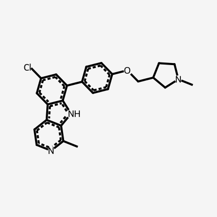 Cc1nccc2c1[nH]c1c(-c3ccc(OCC4CCN(C)C4)cc3)cc(Cl)cc12